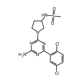 CS(=O)(=O)NC1CCN(c2nc(N)nc(-c3cc(Cl)ccc3Cl)n2)C1